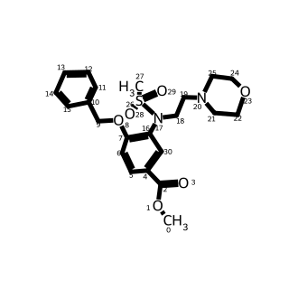 COC(=O)c1ccc(OCc2ccccc2)c(N(CCN2CCOCC2)S(C)(=O)=O)c1